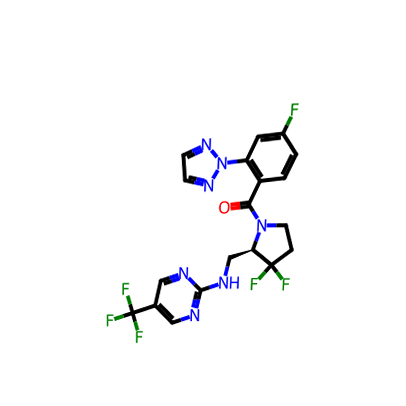 O=C(c1ccc(F)cc1-n1nccn1)N1CCC(F)(F)[C@H]1CNc1ncc(C(F)(F)F)cn1